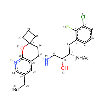 CC(=O)N[C@@H](Cc1cccc(Cl)c1F)[C@H](O)CN[C@H]1CC2(CCC2)Oc2ncc(CC(C)(C)C)cc21